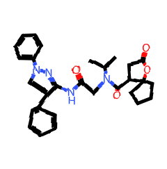 CC(C)N(CC(=O)Nc1nn(-c2ccccc2)cc1-c1ccccc1)C(=O)C1CC(=O)OC12CCCC2